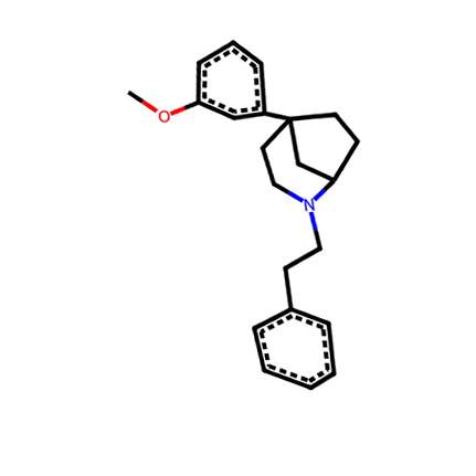 COc1cccc(C23CCC(C2)N(CCc2ccccc2)CC3)c1